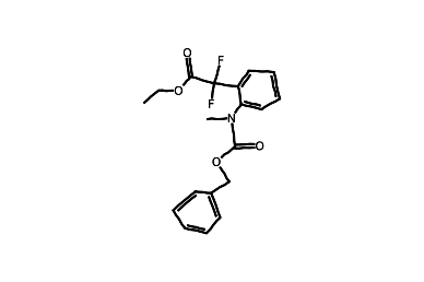 CCOC(=O)C(F)(F)c1ccccc1N(C)C(=O)OCc1ccccc1